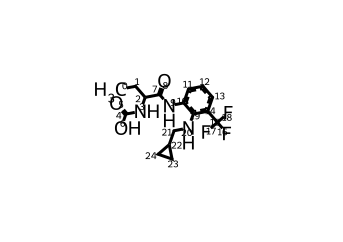 CCC(NC(=O)O)C(=O)Nc1cccc(C(F)(F)F)c1NCC1CC1